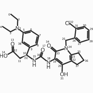 CCN(CC)c1cccc([C@H](CC(=O)O)NC(=O)Nc2c(O)c3c(n(Cc4ccccc4Cl)c2=O)CCC3)c1